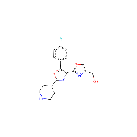 OCc1coc(-c2nc(C3CCNCC3)oc2-c2ccc(F)cc2)n1